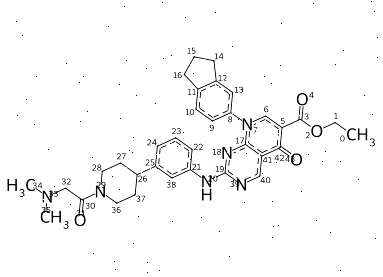 CCOC(=O)c1cn(-c2ccc3c(c2)CCC3)c2nc(Nc3cccc(C4CCN(C(=O)CN(C)C)CC4)c3)ncc2c1=O